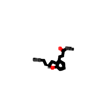 COC(=O)CCc1cccc2c1C[C@@H](CCC=O)O2